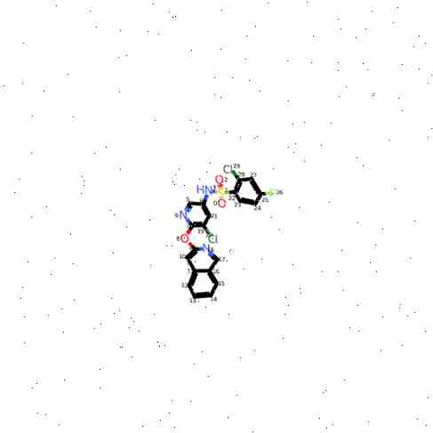 O=S(=O)(Nc1cnc(Oc2cc3ccccc3cn2)c(Cl)c1)c1ccc(F)cc1Cl